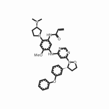 C=CC(=O)Nc1cc(Nc2cc(N3OCC[C@@H]3c3cccc(Oc4ccccc4)c3)ncn2)c(OC)cc1N1CC[C@@H](N(C)C)C1